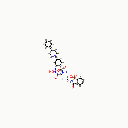 O=C(NO)[C@@H](CCCN1C(=O)c2ccccc2S1(=O)=O)NS(=O)(=O)c1ccc(N2CCC(c3ccccc3)CC2)cc1